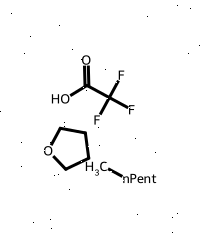 C1CCOC1.CCCCCC.O=C(O)C(F)(F)F